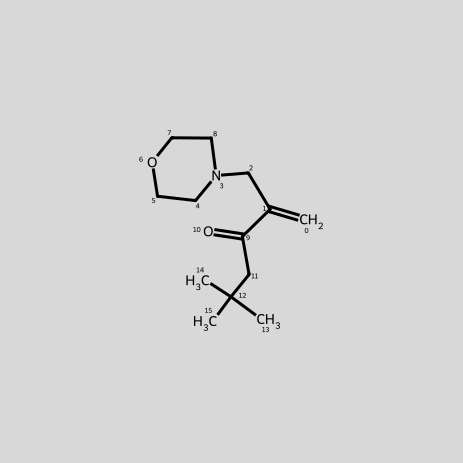 C=C(CN1CCOCC1)C(=O)CC(C)(C)C